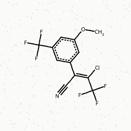 COc1cc(C(C#N)=C(Cl)C(F)(F)F)cc(C(F)(F)F)c1